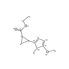 CCOC(=O)C1CC1C1=CC=C(OC)C1C